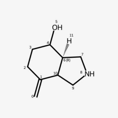 C=C1CCC(O)[C@H]2CNCC12